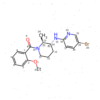 CCOc1ccccc1C(=O)N1CCC[C@@H](Nc2ccc(Br)cn2)[C@@H]1C